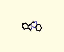 c1ccc2c(c1)cn1c3c(ncc21)CCCC3